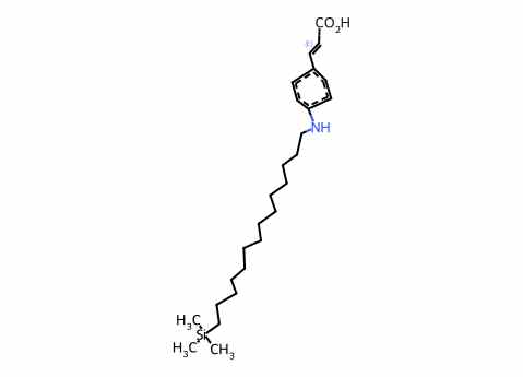 C[Si](C)(C)CCCCCCCCCCCCCCNc1ccc(/C=C/C(=O)O)cc1